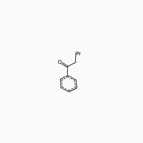 CC(C)[CH]C(=O)c1ccccc1